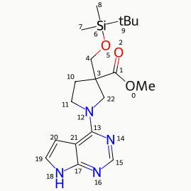 COC(=O)C1(CO[Si](C)(C)C(C)(C)C)CCN(c2ncnc3[nH]ccc23)C1